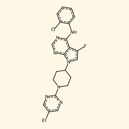 CCc1cnc(N2CCC(n3cc(F)c4c(Nc5ccccc5Cl)ncnc43)CC2)nc1